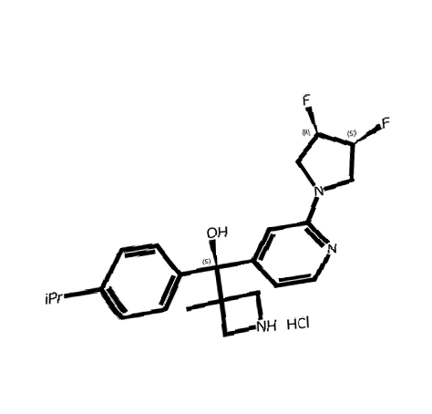 CC(C)c1ccc([C@](O)(c2ccnc(N3C[C@@H](F)[C@@H](F)C3)c2)C2(C)CNC2)cc1.Cl